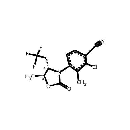 Cc1c(N2C(=O)O[C@@H](C)[C@@H]2CC(F)(F)F)ccc(C#N)c1Cl